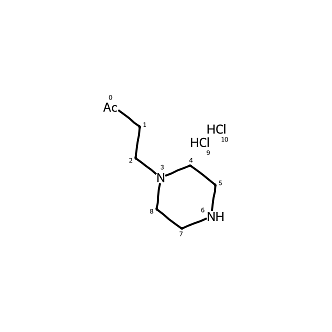 CC(=O)CCN1CCNCC1.Cl.Cl